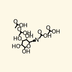 CC(=O)O.CC(=O)O.CC(=O)O.CC(=O)O.N#CC1OC(O)[C@@H](O)[C@H](O)[C@@H]1O